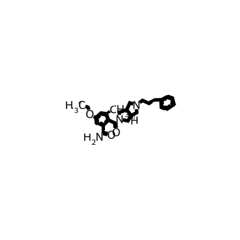 CCOc1cc(C)c(C(=O)N2CC3CN(CC[CH]c4ccccc4)C[C@H]3C2)c(C(N)=O)c1